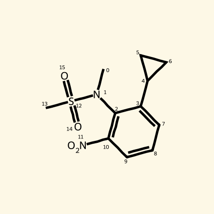 CN(c1c(C2CC2)cccc1[N+](=O)[O-])S(C)(=O)=O